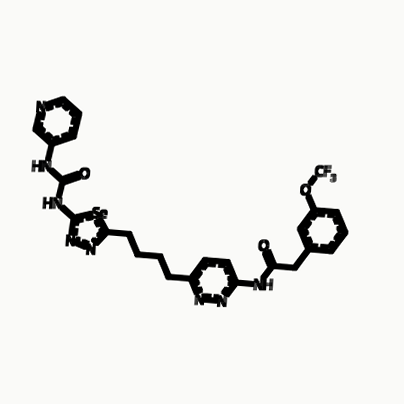 O=C(Cc1cccc(OC(F)(F)F)c1)Nc1ccc(CCCCc2nnc(NC(=O)Nc3cccnc3)[se]2)nn1